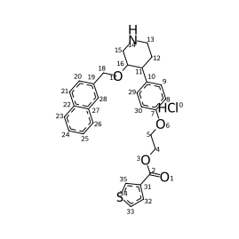 Cl.O=C(OCCOc1ccc(C2CCNCC2OCc2ccc3ccccc3c2)cc1)c1ccsc1